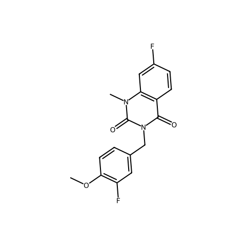 COc1ccc(Cn2c(=O)c3ccc(F)cc3n(C)c2=O)cc1F